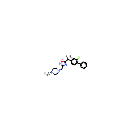 CC(c1ccc(-c2ccccc2)c(F)c1)c1nc(CN2CCN(C)CC2)no1